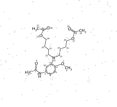 COc1ccc(NC(C)=O)cc1N(CCCCOC(C)=O)CCCCOC(C)=O